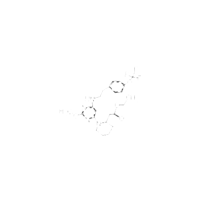 CCOC(=O)CC1CCCCN1c1cc(NCCc2ccc(OC(F)(F)F)cc2)nc(OC)n1